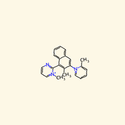 Cc1c(-[n+]2ccccc2C)cc2ccccc2c1-c1nccc[n+]1C